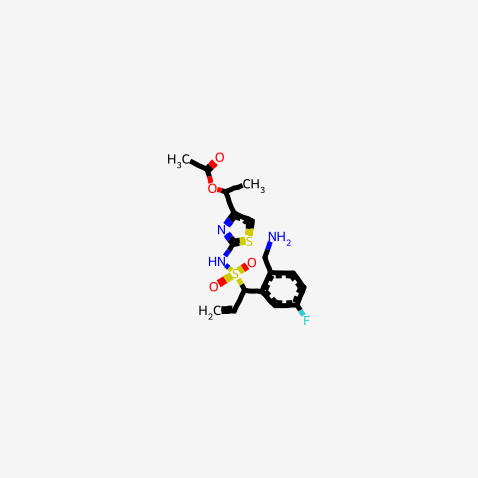 C=CC(c1cc(F)ccc1CN)S(=O)(=O)Nc1nc(C(C)OC(C)=O)cs1